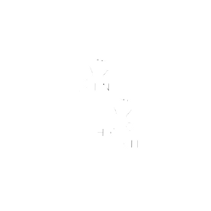 [CH2]c1ccccc1NCc1ccc(OC(C)C)cc1